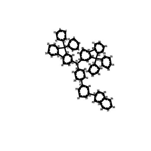 c1ccc(C2(c3ccccc3)c3ccccc3-c3ccc(N(c4ccc(-c5cccc(-c6ccc7ccccc7c6)c5)cc4)c4ccc5c(c4)C(c4ccccc4)(c4ccccc4)c4ccccc4-5)cc32)cc1